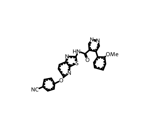 COc1ccccc1-c1cnncc1C(=O)Nc1nc2ccc(Oc3ccc(C#N)cc3)nc2s1